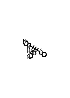 CCC(C)(c1cc2ccccc2s1)C(C)(c1cc2cnccc2o1)C(C)(C)c1cc2cnccc2[nH]1